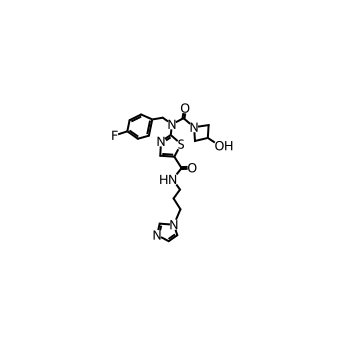 O=C(NCCCn1ccnc1)c1cnc(N(Cc2ccc(F)cc2)C(=O)N2CC(O)C2)s1